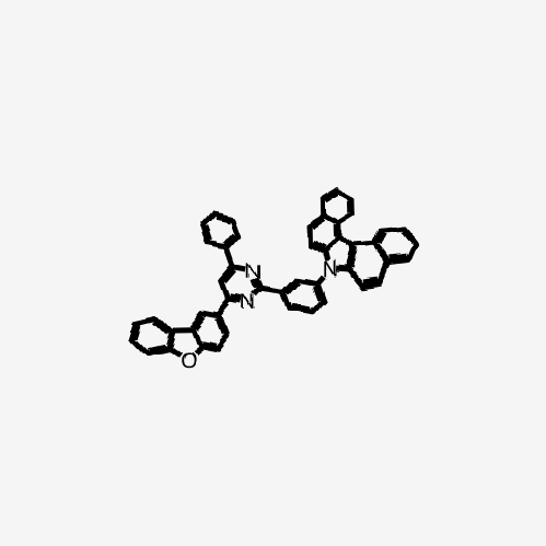 c1ccc(-c2cc(-c3ccc4oc5ccccc5c4c3)nc(-c3cccc(-n4c5ccc6ccccc6c5c5c6ccccc6ccc54)c3)n2)cc1